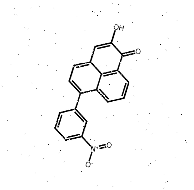 O=C1C(O)=Cc2ccc(-c3cccc([N+](=O)[O-])c3)c3cccc1c23